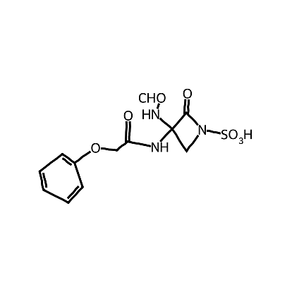 O=CNC1(NC(=O)COc2ccccc2)CN(S(=O)(=O)O)C1=O